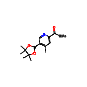 COC(=O)c1cc(C)c(B2OC(C)(C)C(C)(C)O2)cn1